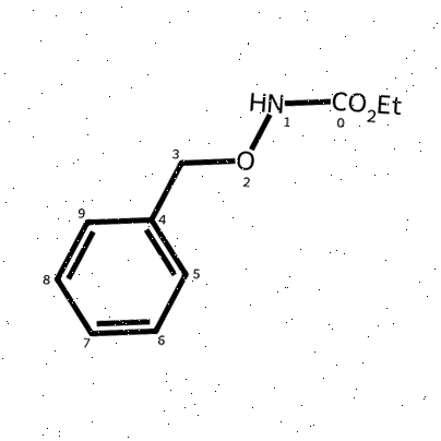 CCOC(=O)NOCc1ccccc1